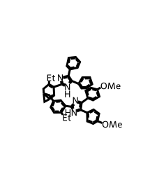 CCC1=C(c2nc(-c3ccccc3)c(-c3ccccc3)[nH]2)C=C2CC2(Cc2ccc(CC)c(-c3nc(-c4ccc(OC)cc4)c(-c4ccc(OC)cc4)[nH]3)c2)C1